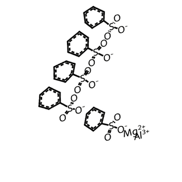 O=S(=O)([O-])c1ccccc1.O=S(=O)([O-])c1ccccc1.O=S(=O)([O-])c1ccccc1.O=S(=O)([O-])c1ccccc1.O=S(=O)([O-])c1ccccc1.[Al+3].[Mg+2]